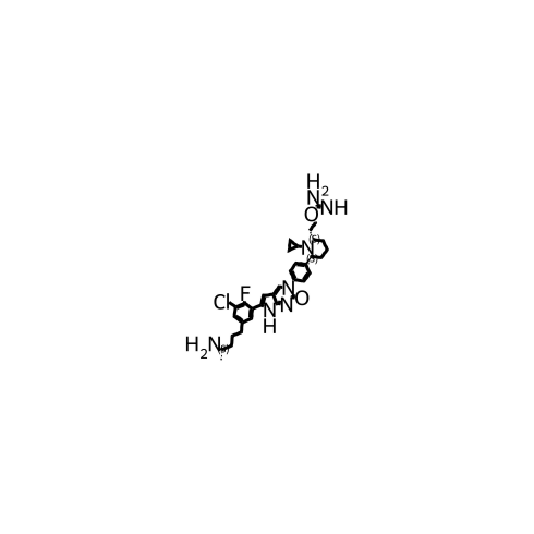 C[C@H](N)CCCc1cc(Cl)c(F)c(-c2cc3cn(-c4ccc([C@@H]5CCC[C@@H](CCOC(=N)N)N5C5CC5)cc4)c(=O)nc3[nH]2)c1